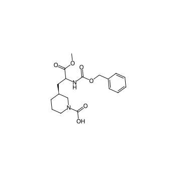 COC(=O)C(C[C@@H]1CCCN(C(=O)O)C1)NC(=O)OCc1ccccc1